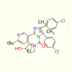 CCOc1cc(C(C)(C)C)ncc1C1=N[C@@](C)(c2ccc(Cl)cc2)[C@@](C)(c2ccc(Cl)cc2)N1C(=O)N1CCC(O)C1